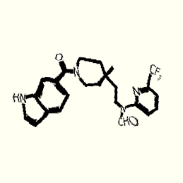 CC1(CCN(C=O)c2cccc(C(F)(F)F)n2)CCN(C(=O)c2ccc3cc[nH]c3c2)CC1